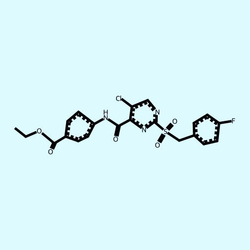 CCOC(=O)c1ccc(NC(=O)c2nc(S(=O)(=O)Cc3ccc(F)cc3)ncc2Cl)cc1